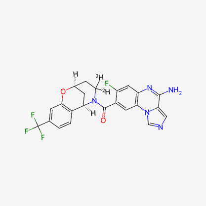 [2H]C1([2H])C[C@H]2C[C@H](c3ccc(C(F)(F)F)cc3O2)N1C(=O)c1cc2c(cc1F)nc(N)c1cncn12